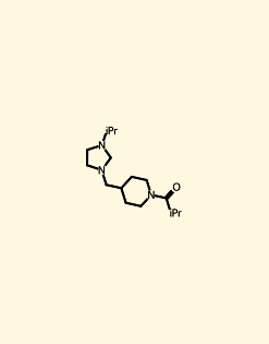 CC(C)C(=O)N1CCC(CN2CCN(C(C)C)C2)CC1